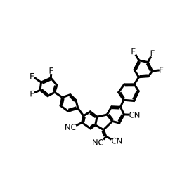 N#CC(C#N)=C1c2cc(C#N)c(-c3ccc(-c4cc(F)c(F)c(F)c4)cc3)cc2-c2cc(-c3ccc(-c4cc(F)c(F)c(F)c4)cc3)c(C#N)cc21